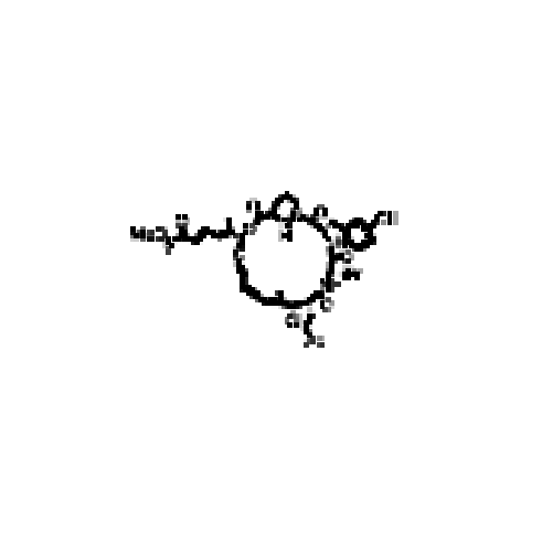 CON(C)C(=O)/C=C/C=C(\C)[C@@H]1C/C=C/C=C/C=C(\C)[C@@H](O)[C@@H](CCC(C)=O)C(=O)N[C@@H](C(C)C)C(=O)N[C@@H](Cc2cccc(O)c2)C(=O)N2CCCC(N2)C(=O)O1